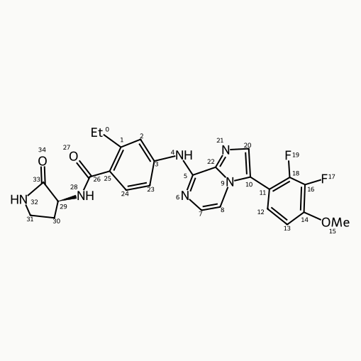 CCc1cc(Nc2nccn3c(-c4ccc(OC)c(F)c4F)cnc23)ccc1C(=O)N[C@H]1CCNC1=O